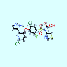 Cn1nccc1-c1nc(Cl)ccc1Oc1cc(F)c(S(=O)(=O)N(C(=O)O)c2cscn2)cc1Cl